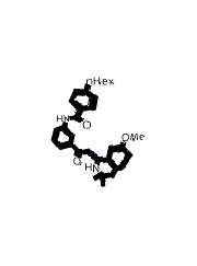 CCCCCCc1ccc(C(=O)Nc2cccc(C(=O)/C=C3\NC(C)(C)Cc4ccc(OC)cc43)c2)cc1